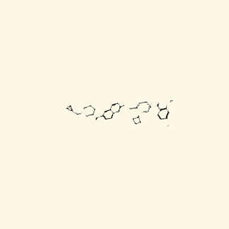 COc1ccc(C(=O)[C@H]2CCC(COc3ccc4cc(C(=O)[C@H]5CCCN(CC6CC6)C5)ccc4c3)N(C3CCC3)C2)c(OC)c1